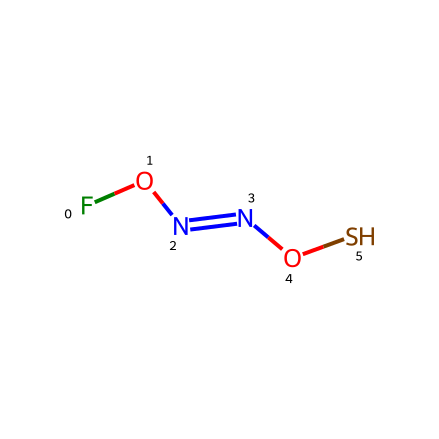 FON=NOS